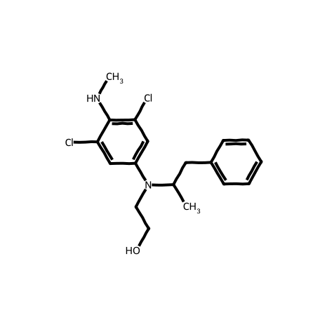 CNc1c(Cl)cc(N(CCO)C(C)Cc2ccccc2)cc1Cl